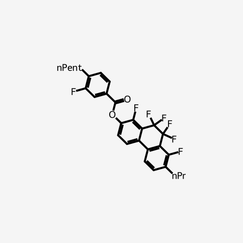 CCCCCc1ccc(C(=O)Oc2ccc3c(c2F)C(F)(F)C(F)(F)c2c-3ccc(CCC)c2F)cc1F